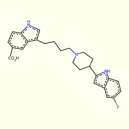 O=C(O)c1ccc2[nH]cc(CCCCN3CCC(c4cc5cc(F)ccc5[nH]4)CC3)c2c1